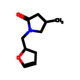 CC1CC(=O)N(CC2CC=CO2)C1